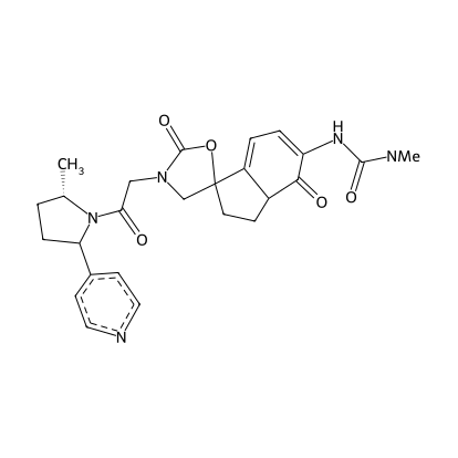 CNC(=O)NC1=CC=C2C(CCC23CN(CC(=O)N2C(c4ccncc4)CC[C@@H]2C)C(=O)O3)C1=O